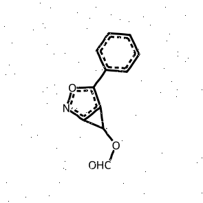 O=CO[C]1c2noc(-c3ccccc3)c21